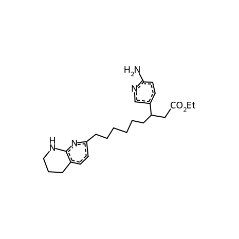 CCOC(=O)CC(CCCCCCc1ccc2c(n1)NCCC2)c1ccc(N)nc1